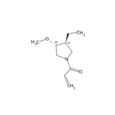 C=CC(=O)N1C[C@H](CC)[C@@H](OC)C1